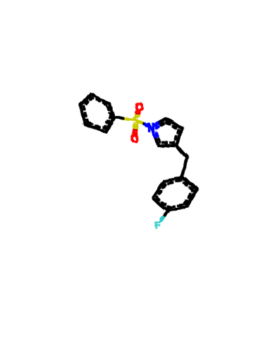 O=S(=O)(c1ccccc1)n1ccc(Cc2ccc(F)cc2)c1